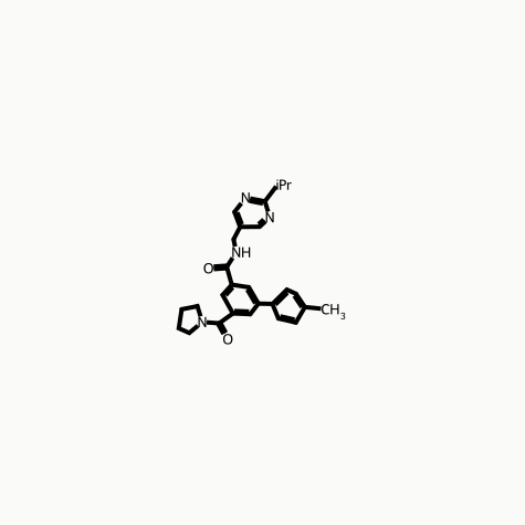 Cc1ccc(-c2cc(C(=O)NCc3cnc(C(C)C)nc3)cc(C(=O)N3CCCC3)c2)cc1